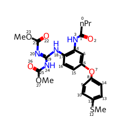 CCCC(=O)Nc1cc(Oc2ccc(SC)cc2)ccc1NC(=NC(=O)OC)NC(=O)OC